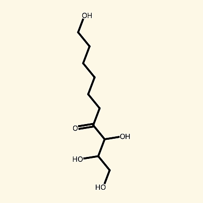 O=C(CCCCCCO)C(O)C(O)CO